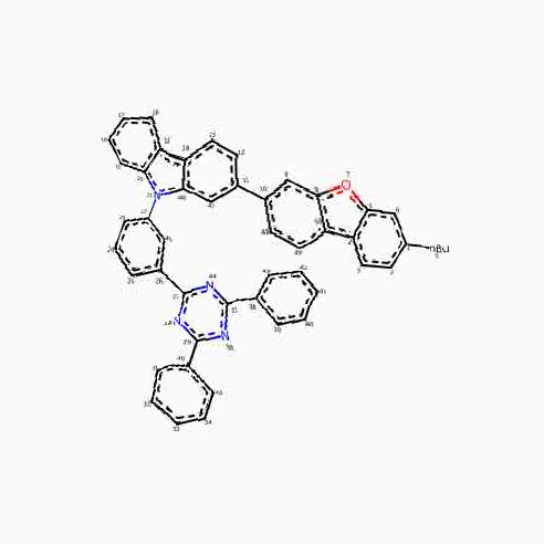 CCCCc1ccc2c(c1)oc1cc(-c3ccc4c5ccccc5n(-c5cccc(-c6nc(-c7ccccc7)nc(-c7ccccc7)n6)c5)c4c3)ccc12